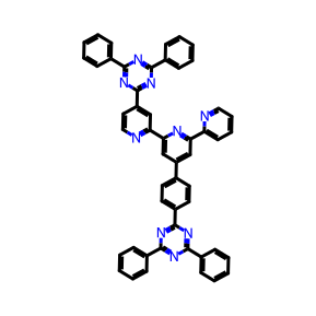 c1ccc(-c2nc(-c3ccccc3)nc(-c3ccc(-c4cc(-c5ccccn5)nc(-c5cc(-c6nc(-c7ccccc7)nc(-c7ccccc7)n6)ccn5)c4)cc3)n2)cc1